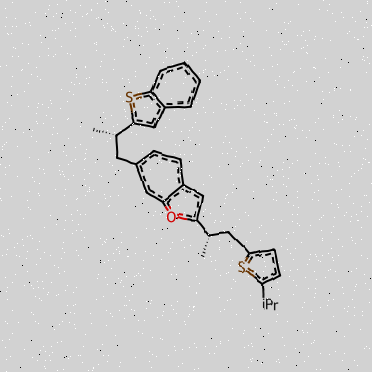 CC(C)c1ccc(C[C@H](C)c2cc3ccc(C[C@H](C)c4cc5ccccc5s4)cc3o2)s1